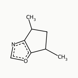 CC1CC(C)c2ocnc21